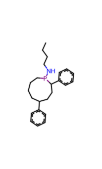 CCCCNP1CCCCC(c2ccccc2)CCC1c1ccccc1